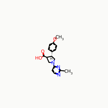 COc1ccc([C@@H]2CN(c3ccnc(C)n3)CC2C(=O)O)cc1